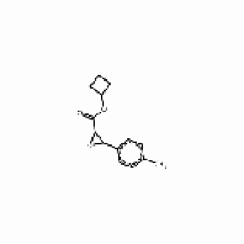 Cc1ccc(C2OC2C(=O)OC2CCC2)cc1